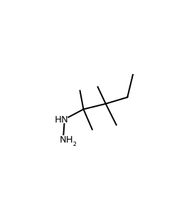 CCC(C)(C)C(C)(C)NN